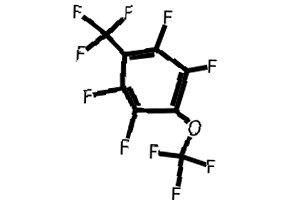 Fc1c(F)c(C(F)(F)F)c(F)c(F)c1OC(F)(F)F